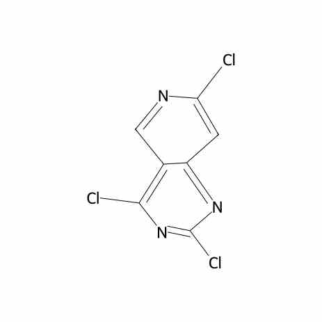 Clc1cc2nc(Cl)nc(Cl)c2cn1